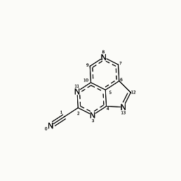 N#Cc1nc2c3c(cncc3n1)C=N2